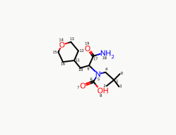 CC(C)(C)CN(C(=O)O)C(CC1CCOCC1)C(N)=O